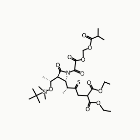 CCOC(=O)C(CC(=S)[C@H](C)[C@@H]1[C@@H]([C@@H](C)O[Si](C)(C)C(C)(C)C)C(=O)N1C(=O)C(=O)OCOC(=O)C(C)C)C(=O)OCC